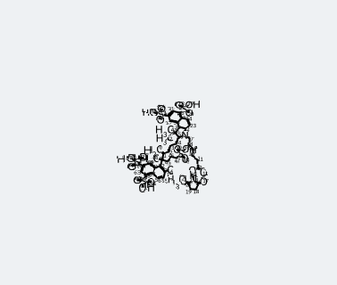 C=C(/C=C/C=C1/N(CCCCCC(=O)ON2C(=O)CCC2=O)c2ccc3c(S(=O)(=O)O)cc(S(=O)(=O)O)cc3c2C1(C)C)C(C)(CCCS(=O)(=O)O)c1c(C)ccc2c(S(=O)(=O)O)cc(S(=O)(=O)O)cc12